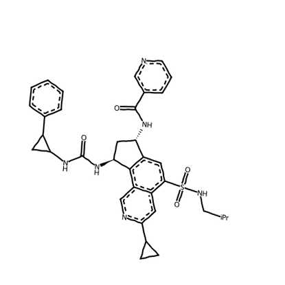 CC(C)CNS(=O)(=O)c1cc2c(c3cnc(C4CC4)cc13)[C@@H](NC(=O)NC1CC1c1ccccc1)C[C@@H]2NC(=O)c1cccnc1